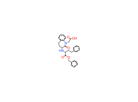 O=C(O)CN1C(=O)C(NC(CCc2ccccc2)C(=O)OCc2ccccc2)CCc2ccccc21